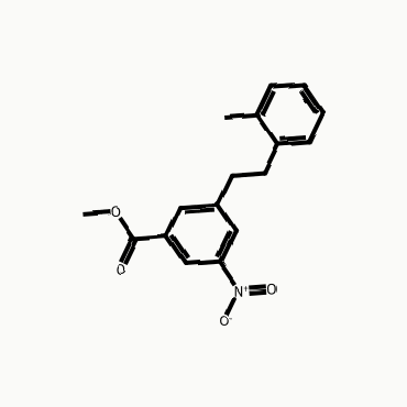 COC(=O)c1cc(CCc2ccccc2C)cc([N+](=O)[O-])c1